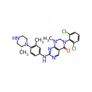 Cc1cc(Nc2ncc3c(n2)N(C)CN(c2c(Cl)cccc2Cl)C3=O)ccc1N1CCNC[C@H]1C